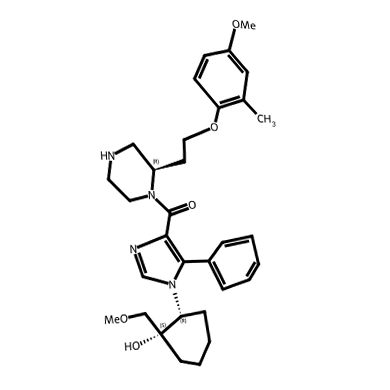 COC[C@]1(O)CCCC[C@H]1n1cnc(C(=O)N2CCNC[C@H]2CCOc2ccc(OC)cc2C)c1-c1ccccc1